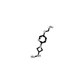 CC(C)(C)COc1ccc(N2CC(NC(C)(C)C)C2)nc1